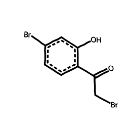 O=C(CBr)c1ccc(Br)cc1O